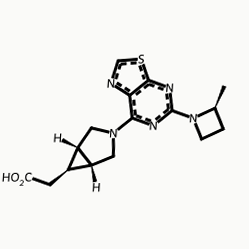 C[C@H]1CCN1c1nc(N2C[C@@H]3[C@@H](CC(=O)O)[C@@H]3C2)c2ncsc2n1